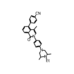 CCN1C(C)CN(c2ccc(-n3cc(C)c4c(-c5ccc(C#N)cc5)cccc4c3=O)cc2)CC1C